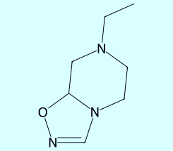 CCN1CCN2C=NOC2C1